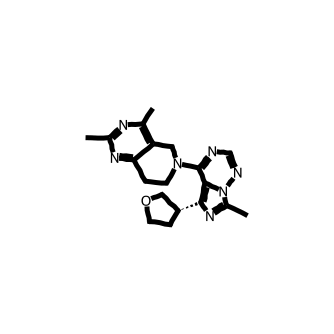 Cc1nc(C)c2c(n1)CCN(c1ncnn3c(C)nc([C@@H]4CCOC4)c13)C2